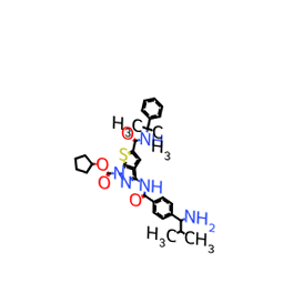 CC(C)C(N)c1ccc(C(=O)Nc2nn(C(=O)OC3CCCC3)c3sc(C(=O)NC(C)(C)c4ccccc4)cc23)cc1